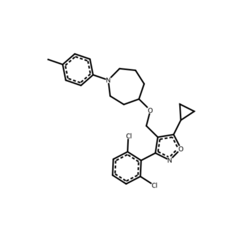 Cc1ccc(N2CCCC(OCc3c(-c4c(Cl)cccc4Cl)noc3C3CC3)CC2)cc1